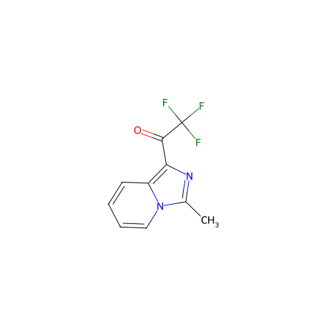 Cc1nc(C(=O)C(F)(F)F)c2ccccn12